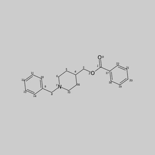 O=C(OCC1CCN(Cc2ccccc2)CC1)c1ccccc1